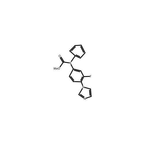 COC(=O)N(c1ccccc1)c1ccc(-n2ccnc2)c(F)c1